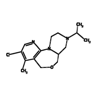 Cc1c(Cl)cnc2c1COCC1CN(C(C)C)CCN21